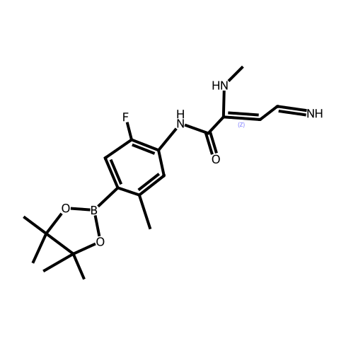 CN/C(=C\C=N)C(=O)Nc1cc(C)c(B2OC(C)(C)C(C)(C)O2)cc1F